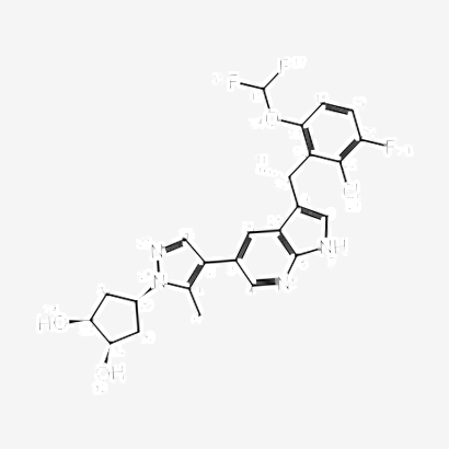 Cc1c(-c2cnc3[nH]cc([C@H](C)c4c(OC(F)F)ccc(F)c4Cl)c3c2)cnn1[C@H]1C[C@@H](O)[C@@H](O)C1